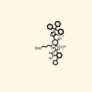 CCC1CC(NS(=O)(=O)c2cccc(C3CCCC3)c2N(C(C)=O)C(C)=O)(C(=O)O)N(CCCCC=O)CC1c1ncn(C(c2ccccc2)(c2ccccc2)c2ccccc2)c1C